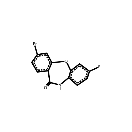 O=C1Nc2ccc(F)cc2Oc2cc(Br)ccc21